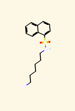 Cl.NCCCCCCNS(=O)(=O)c1cccc2ccccc12